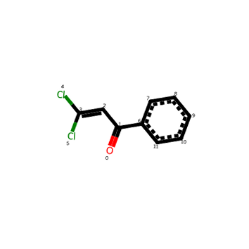 O=C(C=C(Cl)Cl)c1ccccc1